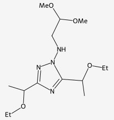 CCOC(C)c1nc(C(C)OCC)n(NCC(OC)OC)n1